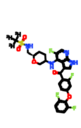 [2H]C([2H])([2H])S(=O)(=O)NC[C@@H]1CC[C@@H](Nc2c(F)cnc3[nH]cc(C(=O)c4ccc(Oc5c(F)cccc5F)cc4F)c23)CO1